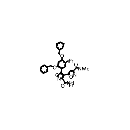 CCNC(=O)c1noc(-c2cc(C(C)C)c(OCc3ccccc3)cc2OCc2ccccc2)c1-c1cc(C(=O)NC)no1